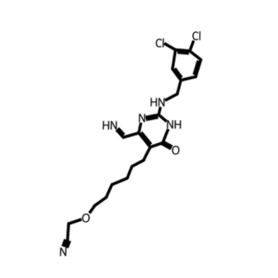 N#CCOCCCCCCc1c(C=N)nc(NCc2ccc(Cl)c(Cl)c2)[nH]c1=O